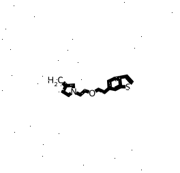 C=C1CCN(CCOCCc2ccc3ccsc3c2)C1